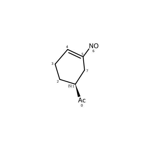 CC(=O)[C@H]1CCC=C(N=O)C1